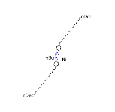 CCCCCCCCCCCCCCCCCCCCCCCC=Cc1ccc(N=CC(CCCC)=Nc2ccc(C=CCCCCCCCCCCCCCCCCCCCCCCC)cc2)cc1.[Ni]